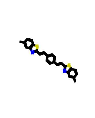 Cc1ccc2sc(/C=C/c3ccc(/C=C/c4nc5cc(C)ccc5s4)cc3)nc2c1